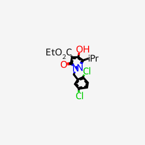 CCOC(=O)c1c(O)c(C(C)C)nn(Cc2cc(Cl)ccc2Cl)c1=O